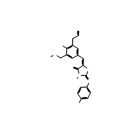 C=CCc1cc(/C=C2/S/C(=N/c3ccc(C)cc3)N(C)C2=O)cc(COC)c1O